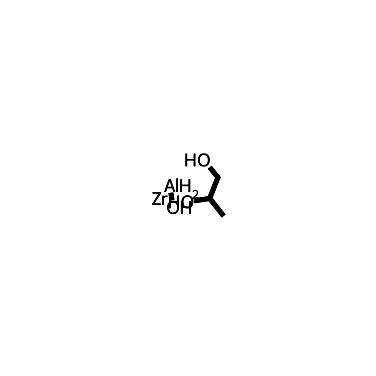 CC(O)CO.[OH][AlH2].[Zr]